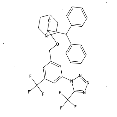 FC(F)(F)c1cc(COC2(C(c3ccccc3)c3ccccc3)CC3CCN2CC3)cc(-n2nnnc2C(F)(F)F)c1